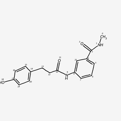 CNC(=O)c1cccc(NC(=O)CCc2ccc(O)cc2)c1